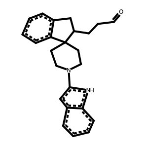 O=CCCC1Cc2ccccc2C12CCN(c1cc3ccccc3[nH]1)CC2